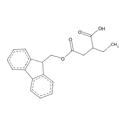 CCC(CC(=O)OCC1c2ccccc2-c2ccccc21)C(=O)O